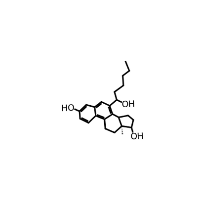 CCCCCC(O)c1cc2cc(O)ccc2c2c1C1CCC(O)[C@@]1(C)CC2